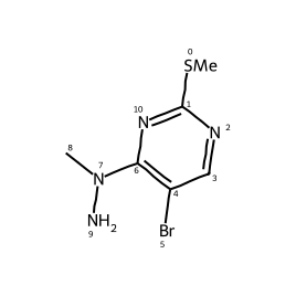 CSc1ncc(Br)c(N(C)N)n1